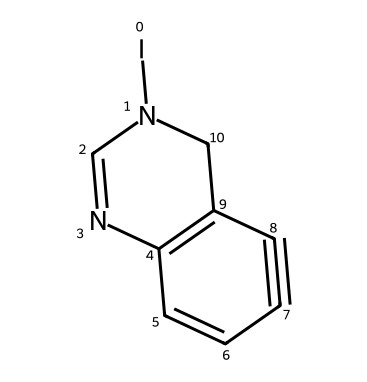 IN1C=Nc2ccc#cc2C1